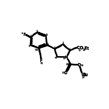 CCOC(=O)C1CC(c2ccc(F)cc2F)CN1C(=O)OC(C)(C)C